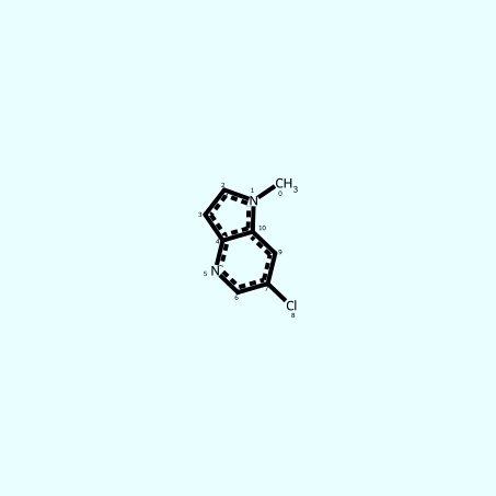 Cn1ccc2ncc(Cl)cc21